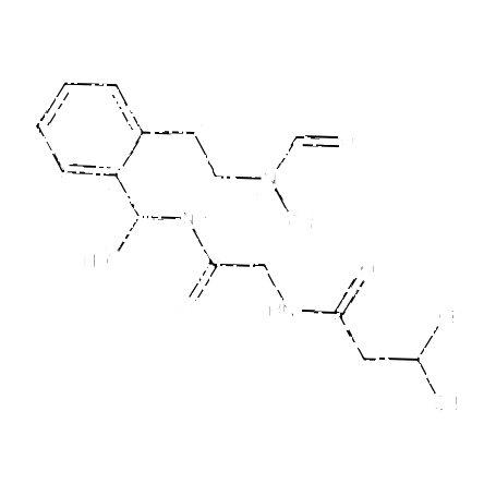 CC(C)CC(=O)NCC(=O)NC(C)c1ccccc1CCN(C)C=O